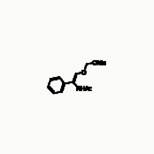 COCOC=C(NC(C)=O)c1ccccc1